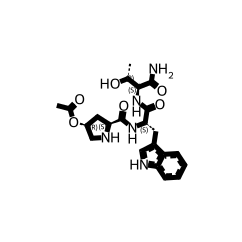 CC(=O)O[C@H]1CN[C@H](C(=O)N[C@@H](Cc2c[nH]c3ccccc23)C(=O)N[C@H](C(N)=O)[C@@H](C)O)C1